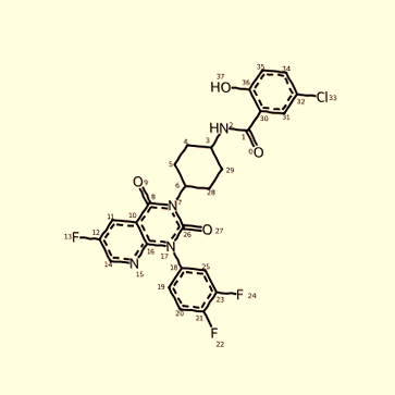 O=C(NC1CCC(n2c(=O)c3cc(F)cnc3n(-c3ccc(F)c(F)c3)c2=O)CC1)c1cc(Cl)ccc1O